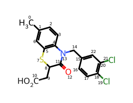 Cc1ccc2c(c1)SC(CC(=O)O)C(=O)N2Cc1ccc(Cl)c(Cl)c1